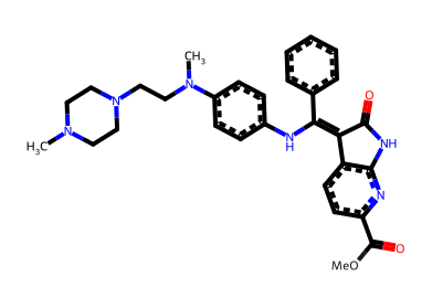 COC(=O)c1ccc2c(n1)NC(=O)C2=C(Nc1ccc(N(C)CCN2CCN(C)CC2)cc1)c1ccccc1